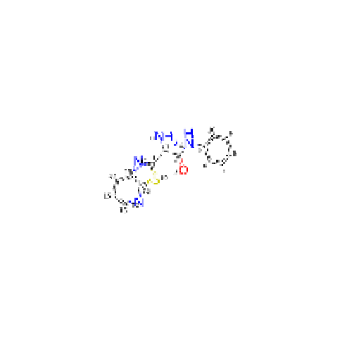 NC(C(=O)Nc1ccccc1)c1nc2cccnc2s1